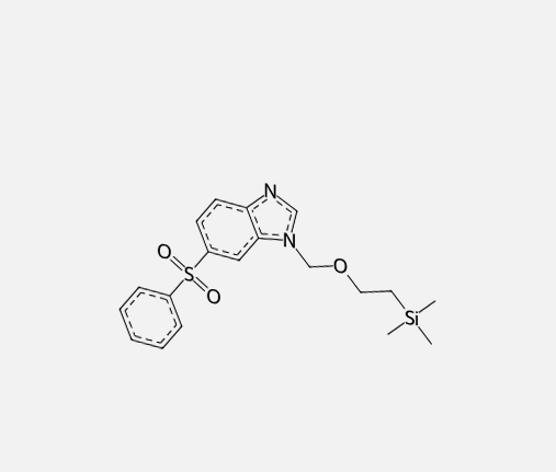 C[Si](C)(C)CCOCn1cnc2ccc(S(=O)(=O)c3ccccc3)cc21